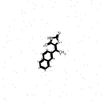 C/C(=C1\SC(=S)NC1=O)c1ccc2ccccc2c1